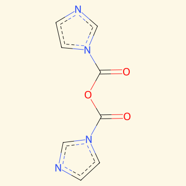 O=C(OC(=O)n1ccnc1)n1ccnc1